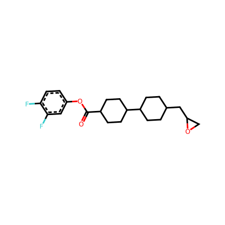 O=C(Oc1ccc(F)c(F)c1)C1CCC(C2CCC(CC3CO3)CC2)CC1